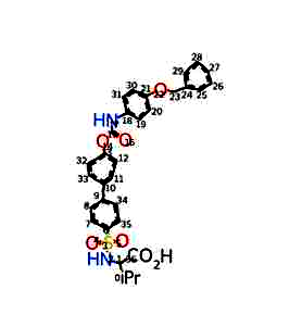 CC(C)C(NS(=O)(=O)c1ccc(-c2ccc(OC(=O)Nc3ccc(OCc4ccccc4)cc3)cc2)cc1)C(=O)O